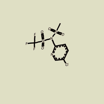 CS(=O)(=O)N(c1ccc(Cl)cn1)S(=O)(=O)C(F)(F)F